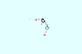 CCCc1cc(C=CC(=O)c2ccc(OCOC(=O)C(C)(C)C)cc2)c(OCC)cc1OCOC(=O)C(C)(C)C